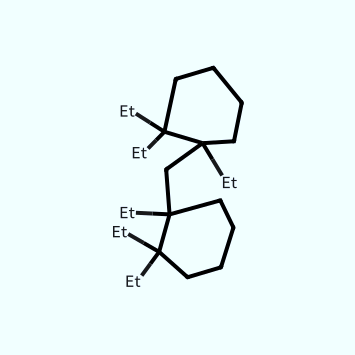 CCC1(CC)CCCCC1(CC)CC1(CC)CCCCC1(CC)CC